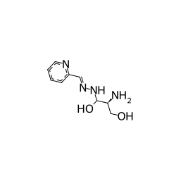 N[C@@H](CO)C(O)N/N=C/c1ccccn1